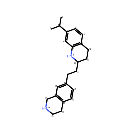 CC(C)c1ccc2c(c1)NC(CCc1ccc3c(c1)CNCC3)CC2